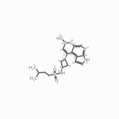 CC(C)CCS(=O)(=O)N[C@H]1C[C@@H](C2=CB(O)Oc3cnc4[nH]ccc4c32)C1